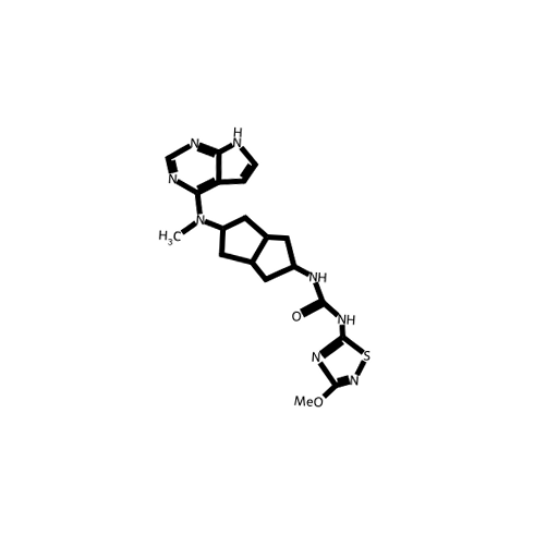 COc1nsc(NC(=O)NC2CC3CC(N(C)c4ncnc5[nH]ccc45)CC3C2)n1